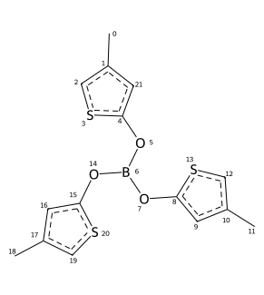 Cc1csc(OB(Oc2cc(C)cs2)Oc2cc(C)cs2)c1